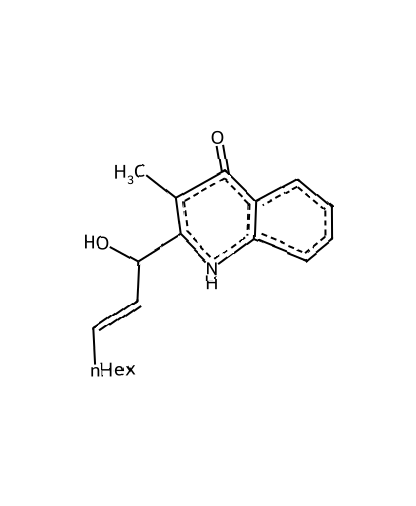 CCCCCC/C=C/C(O)c1[nH]c2ccccc2c(=O)c1C